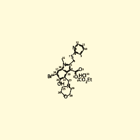 CCOC(=O)OC(=O)c1c(CSc2ccccn2)n(C)c2cc(Br)c(O)c(CN3CCOCC3)c12.Cl